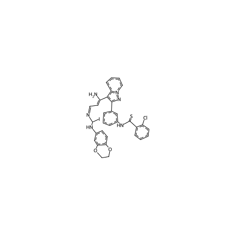 N/C(=C\C=N/C(I)Nc1ccc2c(c1)OCCO2)c1c(-c2cccc(NC(=S)c3ccccc3Cl)c2)nn2ccccc12